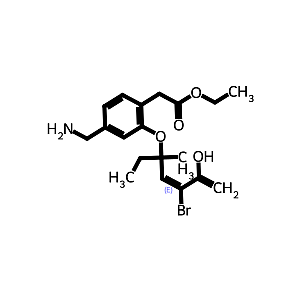 C=C(O)/C(Br)=C\C(C)(CC)Oc1cc(CN)ccc1CC(=O)OCC